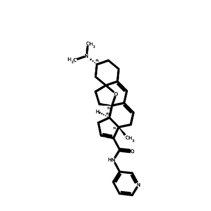 CN(C)[C@@H]1CCC2=CC3=CC[C@]4(C)C(C(=O)Nc5cccnc5)=CC[C@H]4[C@@]34CCC2(C1)O4